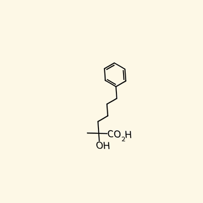 CC(O)(CCCCc1ccccc1)C(=O)O